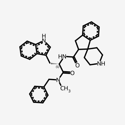 CN(Cc1ccccc1)C(=O)[C@H](Cc1c[nH]c2ccccc12)NC(=O)C1Cc2ccccc2C12CCNCC2